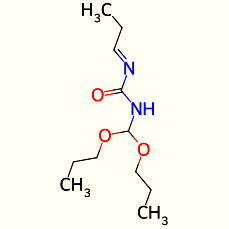 CCC=NC(=O)NC(OCCC)OCCC